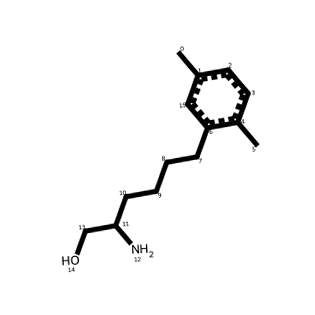 Cc1ccc(C)c(CCCCC(N)CO)c1